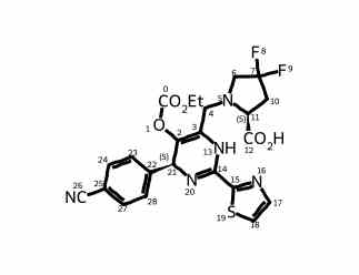 CCOC(=O)OC1=C(CN2CC(F)(F)C[C@H]2C(=O)O)NC(c2nccs2)=N[C@H]1c1ccc(C#N)cc1